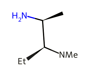 CC[C@H](NC)[C@H](C)N